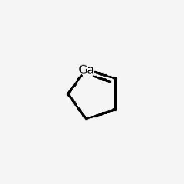 [CH]1=[Ga][CH2]CC1